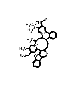 C=C1CC2C(CCc3ncc4c(oc5ccccc54)c3-c3cc(CC(C)(C)C)c(C)c[n+]31)c1ccccc1-c1cc(CC(C)C)c([Si](C)(C)C)c[n+]12